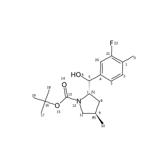 Cc1ccc(C(O)[C@@H]2C[C@@H](C)CN2C(=O)OC(C)(C)C)cc1F